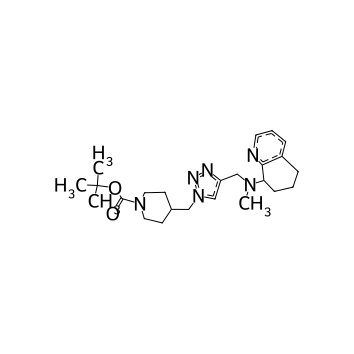 CN(Cc1cn(CC2CCN(C(=O)OC(C)(C)C)CC2)nn1)C1CCCc2cccnc21